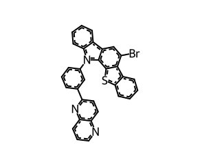 Brc1cc2c3ccccc3n(-c3cccc(-c4ccc5ncccc5n4)c3)c2c2sc3ccccc3c12